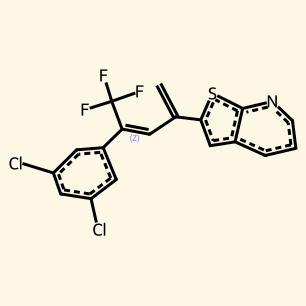 C=C(/C=C(/c1cc(Cl)cc(Cl)c1)C(F)(F)F)c1cc2cccnc2s1